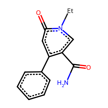 CCn1cc(C(N)=O)c(-c2ccccc2)cc1=O